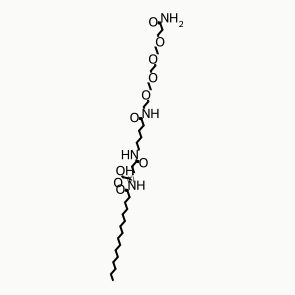 CCCCCCCCCCCCCCCC(=O)N[C@@H](CCC(=O)NCCCCCC(=O)NCCOCCOCCOCCOCCC(N)=O)C(=O)O